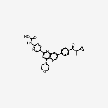 O=C(O)Nc1ncc(-c2nc(N3CCOCC3)c3ncc(-c4ccc(C(=O)NC5CC5)cc4)cc3n2)cn1